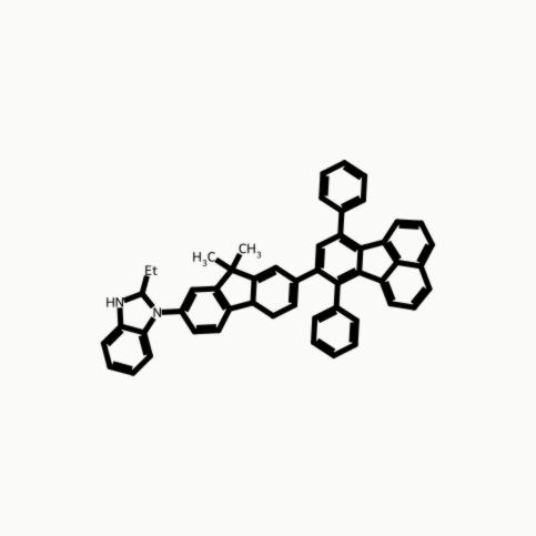 CCC1Nc2ccccc2N1c1ccc2c(c1)C(C)(C)C1=CC(c3cc(-c4ccccc4)c4c(c3-c3ccccc3)-c3cccc5cccc-4c35)=CCC12